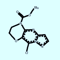 CC(C)(C)OC(=O)N1CCOc2c1nc1ccnn1c2Cl